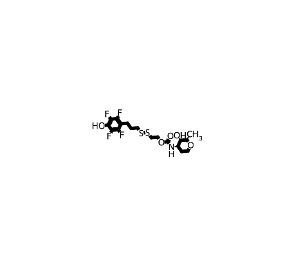 C[C@@H]1OCC[C@H](NC(=O)OCCSSCCCc2c(F)c(F)c(O)c(F)c2F)[C@@H]1O